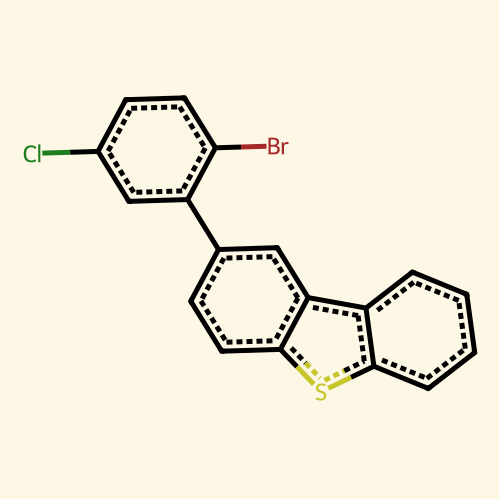 Clc1ccc(Br)c(-c2ccc3sc4ccccc4c3c2)c1